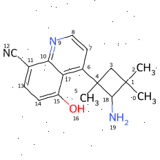 CC1(C)CC(C)(c2ccnc3c(C#N)ccc(O)c23)C1N